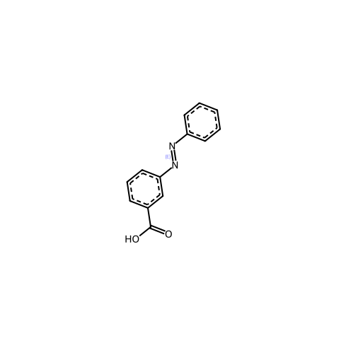 O=C(O)c1cccc(/N=N/c2ccccc2)c1